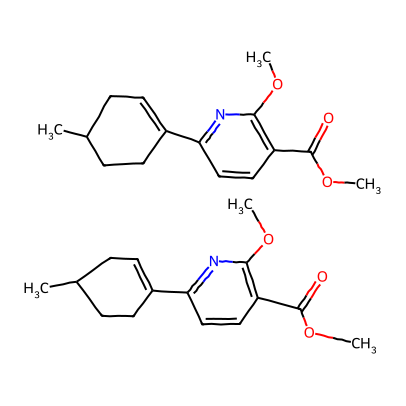 COC(=O)c1ccc(C2=CCC(C)CC2)nc1OC.COC(=O)c1ccc(C2=CCC(C)CC2)nc1OC